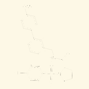 COc1ccc(-c2cccc(CNC(=O)[C@@H]3CCCN3S(=O)(=O)c3ccc(F)cc3)c2)cc1